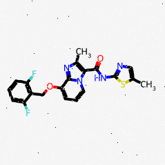 Cc1cnc(NC(=O)c2c(C)nc3c(OCc4c(F)cccc4F)cccn23)s1